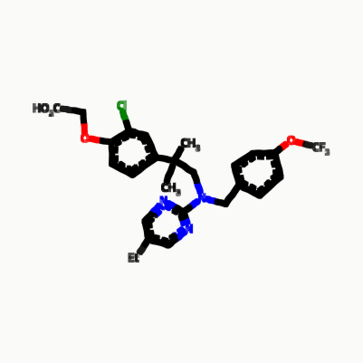 CCc1cnc(N(Cc2ccc(OC(F)(F)F)cc2)CC(C)(C)c2ccc(OCC(=O)O)c(Cl)c2)nc1